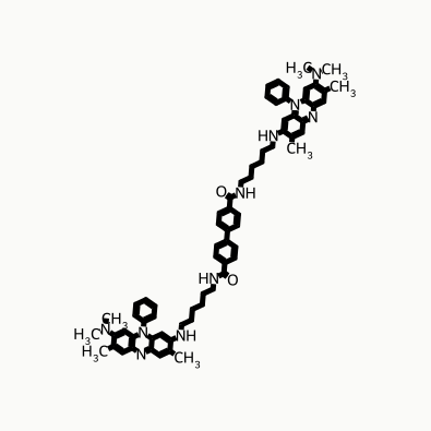 CC1=CC2=Nc3cc(C)c(N(C)C)cc3N(c3ccccc3)C2C=C1NCCCCCCNC(=O)c1ccc(-c2ccc(C(=O)NCCCCCCNc3cc4c(cc3C)nc3cc(C)c(N(C)C)cc3[n+]4-c3ccccc3)cc2)cc1